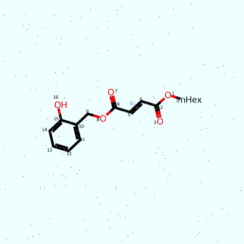 CCCCCCOC(=O)/C=C/C(=O)OCc1ccccc1O